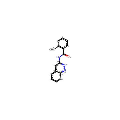 O=Cc1ccccc1C(=O)Nc1cc2ccc[c]c2nn1